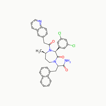 C[C@@H]1CCN(C(Cc2cccc3ccccc23)C(N)=O)C(=O)[C@H](c2cc(Cl)cc(Cl)c2)N1C(=O)Cc1ccc2ncccc2c1